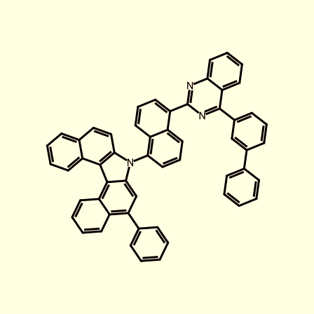 c1ccc(-c2cccc(-c3nc(-c4cccc5c(-n6c7ccc8ccccc8c7c7c8ccccc8c(-c8ccccc8)cc76)cccc45)nc4ccccc34)c2)cc1